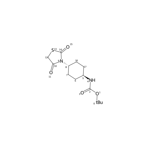 CC(C)(C)OC(=O)N[C@H]1CC[C@H](N2C(=O)CSC2=O)CC1